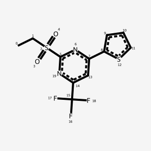 CCS(=O)(=O)c1nc(-c2cccs2)cc(C(F)(F)F)n1